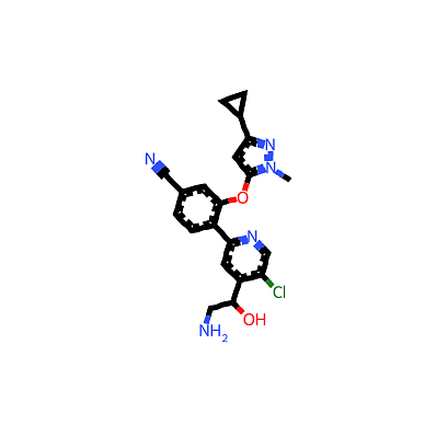 Cn1nc(C2CC2)cc1Oc1cc(C#N)ccc1-c1cc(C(O)CN)c(Cl)cn1